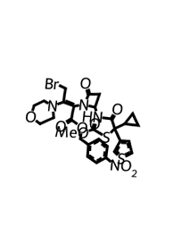 COC(=O)SC(C(=O)NC1CC(=O)N1C(C(=O)OCc1ccc([N+](=O)[O-])cc1)=C(CBr)N1CCOCC1)(c1ccsc1)C1CC1